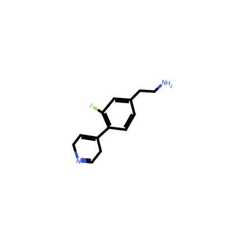 NCCc1ccc(C2=CCN=CC2)c(F)c1